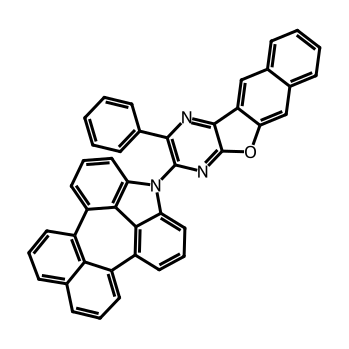 c1ccc(-c2nc3c(nc2-n2c4cccc5c4c4c(cccc42)-c2cccc4cccc-5c24)oc2cc4ccccc4cc23)cc1